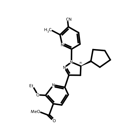 CCOc1nc(C2=NN(c3ccc(C#N)c(C)n3)[C@@H](C3CCCC3)C2)ccc1C(=O)OC